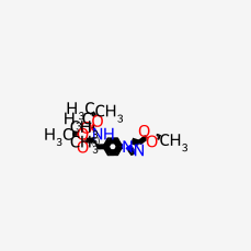 CCOC(=O)c1cn(-c2ccc(C[C@H](NC(=O)OC(C)(C)C)C(=O)OC(C)(C)C)cc2)cn1